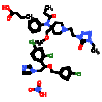 CCC(=O)N(c1ccccc1)C1(COC)CCN(CCn2nnn(CC)c2=O)CC1.CCCC(=O)O.Clc1ccc(COC(Cn2ccnc2)c2ccc(Cl)cc2Cl)cc1.O=[N+]([O-])O